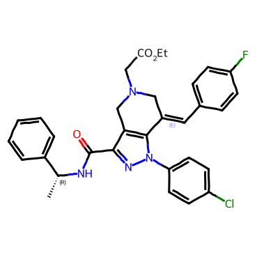 CCOC(=O)CN1C/C(=C\c2ccc(F)cc2)c2c(c(C(=O)N[C@H](C)c3ccccc3)nn2-c2ccc(Cl)cc2)C1